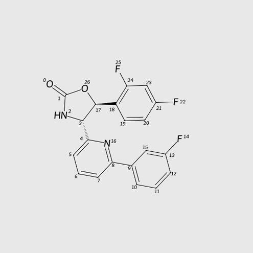 O=C1N[C@@H](c2cccc(-c3cccc(F)c3)n2)[C@H](c2ccc(F)cc2F)O1